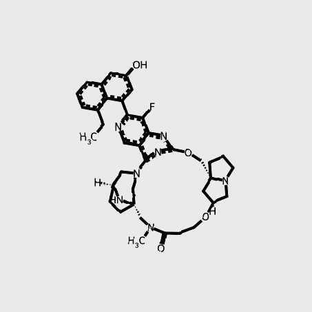 CCc1cccc2cc(O)cc(-c3ncc4c5nc(nc4c3F)OC[C@]34CCCN3C[C@@H](C4)OCCC(=O)N(C)C[C@@]34CC[C@@H](CN5C3)N4)c12